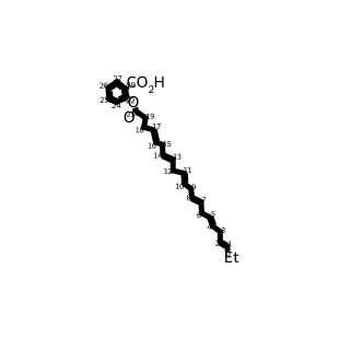 CCC=CCC=CCC=CCC=CCC=CCC=CCCC(=O)Oc1ccccc1C(=O)O